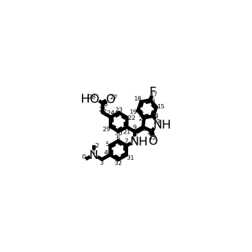 CN(C)Cc1ccc(N/C(=C2\C(=O)Nc3cc(F)ccc32)c2ccc(CC(=O)O)cc2)cc1